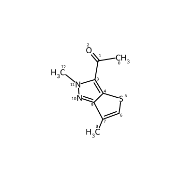 CC(=O)c1c2scc(C)c2nn1C